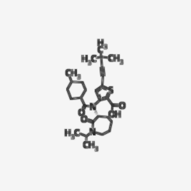 CC1CCC(C(=O)N(c2cc(C#CC(C)(C)C)sc2C(=O)O)[C@@H]2CCCCN(C(C)C)C2=O)CC1